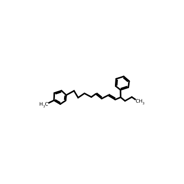 CCCC(C=CC=CCCCCc1ccc(C)cc1)c1ccccc1